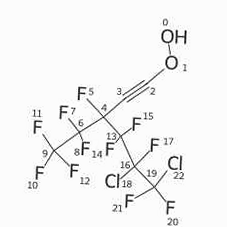 OOC#CC(F)(C(F)(F)C(F)(F)F)C(F)(F)C(F)(Cl)C(F)(F)Cl